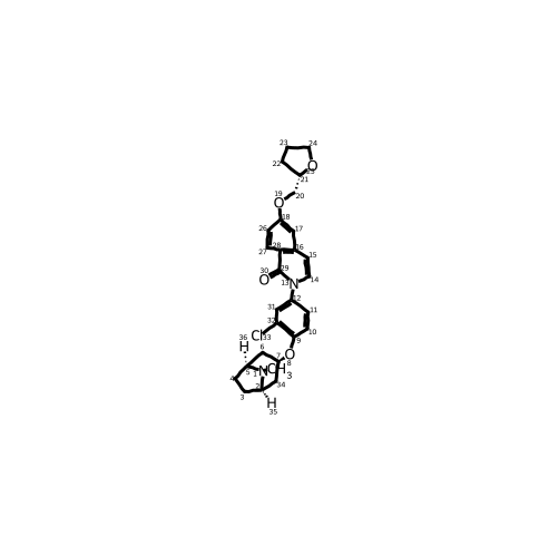 CN1[C@@H]2CC[C@H]1C[C@@H](Oc1ccc(-n3ccc4cc(OC[C@@H]5CCCO5)ccc4c3=O)cc1Cl)C2